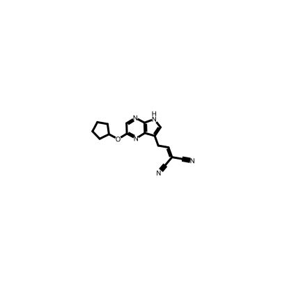 N#CC(C#N)=CCc1c[nH]c2ncc(OC3CCCC3)nc12